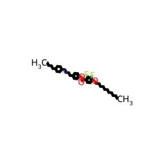 CCCCCCCCCCCCOc1ccc(C(=O)Oc2ccc(CC/C=C/C3CCC(CCCCC)CC3)cc2)c(F)c1F